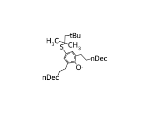 CCCCCCCCCCCCc1cc(SC(C)(C)CC(C)(C)C)cc(CCCCCCCCCCCC)c1[O]